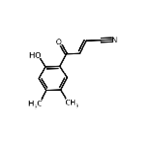 Cc1cc(O)c(C(=O)/C=C/C#N)cc1C